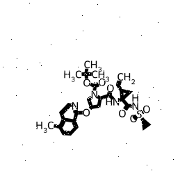 C=CC1CC1(NC(=O)C1CC(Oc2nccc3c(C)cccc23)CN1C(=O)OC(C)(C)C)C(=O)NS(=O)(=O)C1CC1